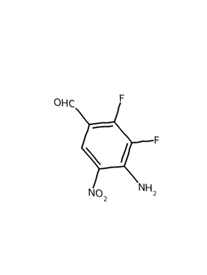 Nc1c([N+](=O)[O-])cc(C=O)c(F)c1F